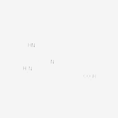 N=C(N)N1CC(CC(=O)O)C1